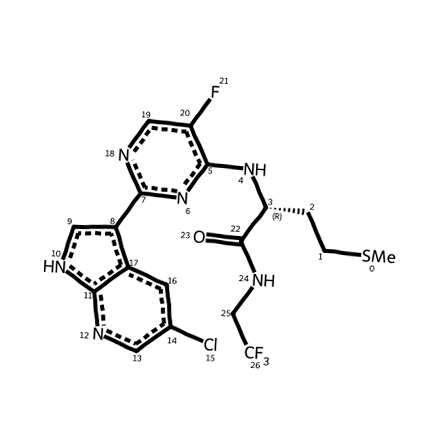 CSCC[C@@H](Nc1nc(-c2c[nH]c3ncc(Cl)cc23)ncc1F)C(=O)NCC(F)(F)F